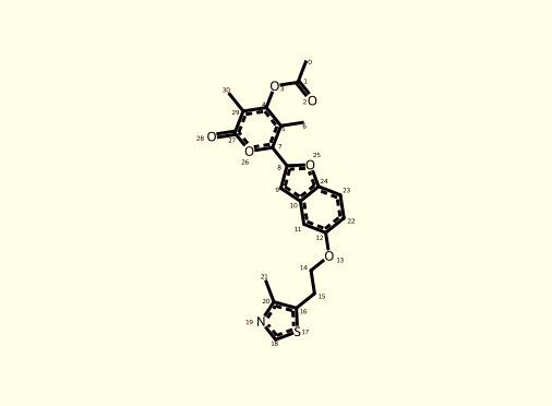 CC(=O)Oc1c(C)c(-c2cc3cc(OCCc4scnc4C)ccc3o2)oc(=O)c1C